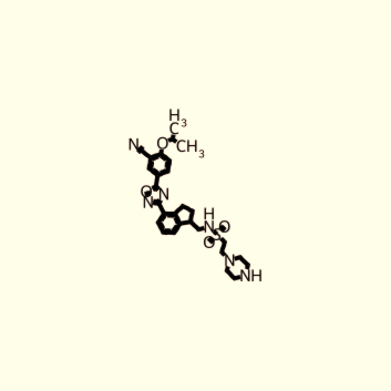 CC(C)Oc1ccc(-c2nc(-c3cccc4c3CCC4CNS(=O)(=O)CCN3CCNCC3)no2)cc1C#N